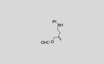 C=C(CCNC(C)C)COC=O